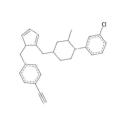 C#Cc1ccc(CC2C=CC=C2CC2CCC(c3cccc(Cl)c3)C(C)C2)cc1